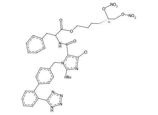 CCCCc1nc(Cl)c(C(=O)NC(Cc2ccccc2)C(=O)OCCCC[C@@H](CO[N+](=O)[O-])O[N+](=O)[O-])n1Cc1ccc(-c2ccccc2-c2nnn[nH]2)cc1